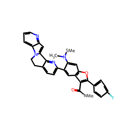 CNC(=O)c1c(-c2ccc(F)cc2)oc2cc(N(C)SC)c(-c3ccc4c(n3)-c3cc5ncccc5n3CC4)cc12